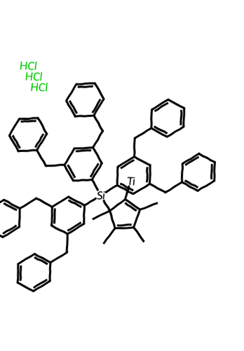 CC1=C(C)C(C)([Si](c2cc(Cc3ccccc3)cc(Cc3ccccc3)c2)(c2cc(Cc3ccccc3)cc(Cc3ccccc3)c2)c2cc(Cc3ccccc3)cc(Cc3ccccc3)c2)[C]([Ti])=C1C.Cl.Cl.Cl